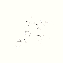 CC(O/N=C(\C(=O)NC1C(=O)N(OS(=O)(=O)O)C1(C)C)C1=CSC(N)N1)(C(=O)O)C1CCc2cc(C(=N)NC3C4CCC3CNC4)ccc2O1